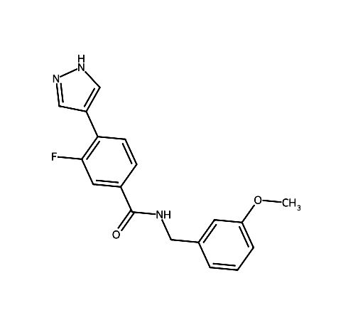 COc1cccc(CNC(=O)c2ccc(-c3cn[nH]c3)c(F)c2)c1